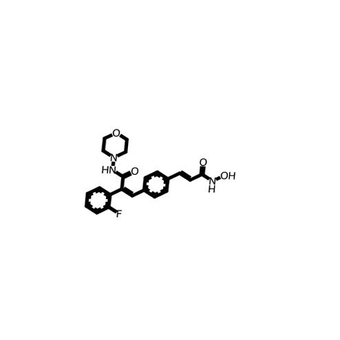 O=C(C=Cc1ccc(C=C(C(=O)NN2CCOCC2)c2ccccc2F)cc1)NO